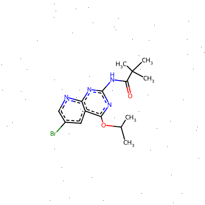 CC(C)Oc1nc(NC(=O)C(C)(C)C)nc2ncc(Br)cc12